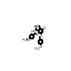 COc1ccc(COc2cc(Cl)c(CO)c(C(=O)O)c2OCc2ccc(OC)cc2)cc1